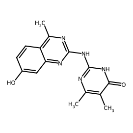 Cc1nc(Nc2nc(C)c3ccc(O)cc3n2)[nH]c(=O)c1C